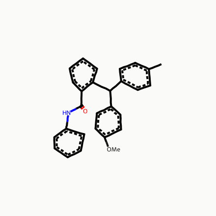 COc1ccc(C(c2ccc(C)cc2)c2ccccc2C(=O)Nc2ccccc2)cc1